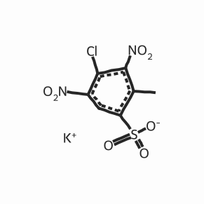 Cc1c(S(=O)(=O)[O-])cc([N+](=O)[O-])c(Cl)c1[N+](=O)[O-].[K+]